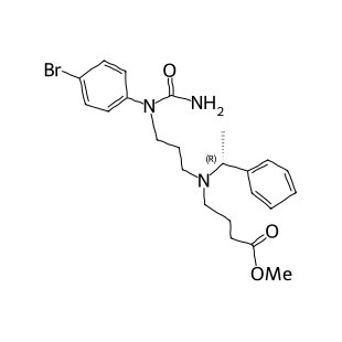 COC(=O)CCCN(CCCN(C(N)=O)c1ccc(Br)cc1)[C@H](C)c1ccccc1